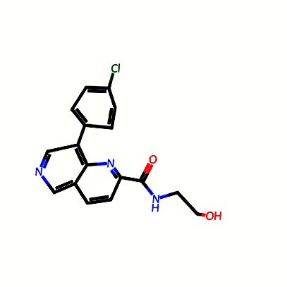 O=C(NCCO)c1ccc2cncc(-c3ccc(Cl)cc3)c2n1